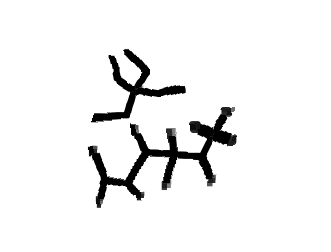 CC[N+](CC)(CC)CC.O=S(=O)([O-])C(F)C(F)(F)C(F)C(F)C(F)F